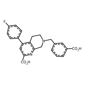 O=C(O)c1cccc(CN2CCc3c(-c4ccc(F)cc4)cc(C(=O)O)nc3C2)c1